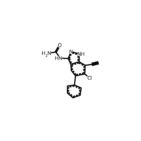 C#Cc1c(Cl)c(-c2ccccc2)cc2c(NC(N)=O)n[nH]c12